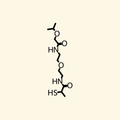 CC(C)OCC(=O)NCCOCCNC(=O)C(C)S